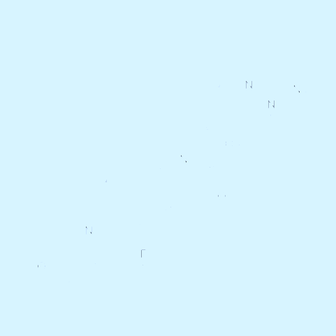 O=C1O[C@@H](Cn2ccnn2)CN1c1ccc(N2CCOCC2)c(F)c1